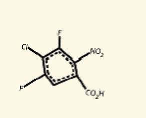 O=C(O)c1cc(F)c(Cl)c(F)c1[N+](=O)[O-]